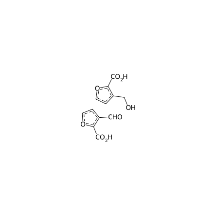 O=C(O)c1occc1CO.O=Cc1ccoc1C(=O)O